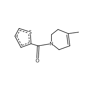 CC1=CCN(C(=O)c2cccs2)CC1